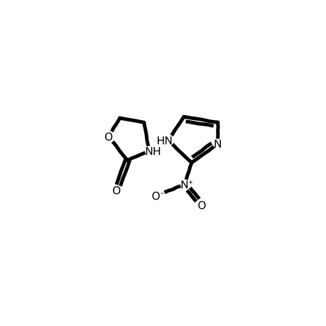 O=C1NCCO1.O=[N+]([O-])c1ncc[nH]1